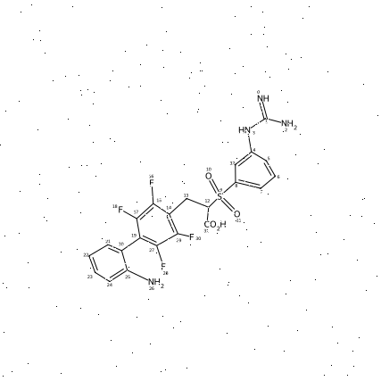 N=C(N)Nc1cccc(S(=O)(=O)C(Cc2c(F)c(F)c(-c3ccccc3N)c(F)c2F)C(=O)O)c1